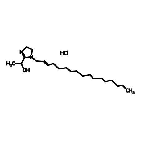 CCCCCCCCCCCCCCC=CCN1CCN=C1C(C)O.Cl